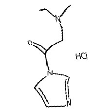 CN(C)CC(=O)n1ccnc1.Cl